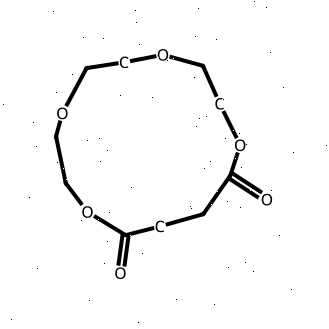 O=C1CCC(=O)OCCOCCOCCO1